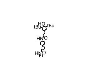 CCNC(=O)COc1ccc(NC(=O)CCc2cc(C(C)(C)C)c(O)c(C(C)(C)C)c2)cc1